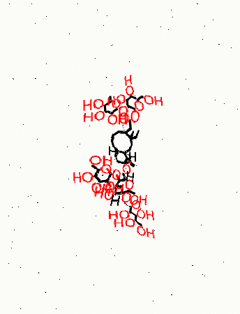 C=C1C[C@@]23CCC(C)(CC)[C@](C)(CC(=O)O[C@@H]4OC(CO)[C@@H](O)C(O)C4O[C@@H]4OC(C)[C@@H](O)C(O)C4O)CCCC[C@@H]2CC[C@]1(OC[C@@H]1OC(CO)C2(OC[C@H](OC)C(O)C(O)[C@H](O)CO)CC(C1O[C@@H]1OC(CO)[C@@H](O)C(O)C1O)[C@@H]2O)[C@@H]3C